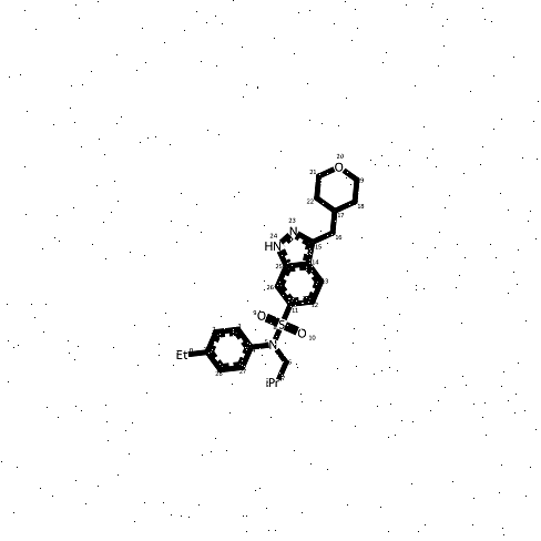 CCc1ccc(N(CC(C)C)S(=O)(=O)c2ccc3c(CC4CCOCC4)n[nH]c3c2)cc1